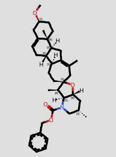 CO[C@H]1CC[C@@]2(C)C(=CC[C@H]3[C@@H]4CC[C@@]5(CC(C)=C4C[C@@H]32)O[C@@H]2C[C@H](C)CN(C(=O)OCc3ccccc3)[C@H]2[C@H]5C)C1